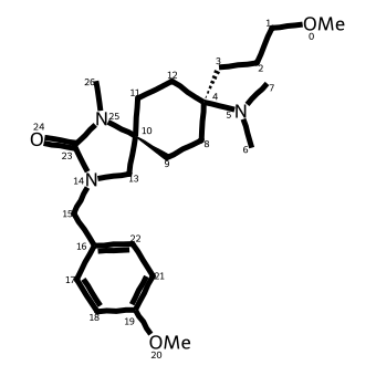 COCCC[C@]1(N(C)C)CC[C@@]2(CC1)CN(Cc1ccc(OC)cc1)C(=O)N2C